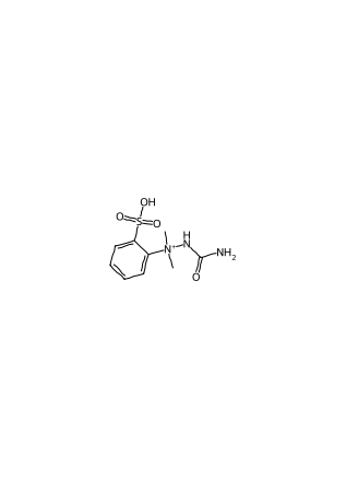 C[N+](C)(NC(N)=O)c1ccccc1S(=O)(=O)O